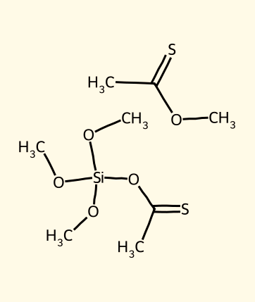 COC(C)=S.CO[Si](OC)(OC)OC(C)=S